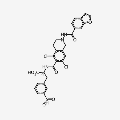 O=C(NN1CCc2c(cc(Cl)c(C(=O)N[C@@H](Cc3cccc([SH](=O)=O)c3)C(=O)O)c2Cl)C1)c1ccc2ccoc2c1